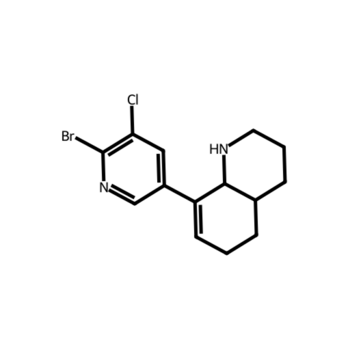 Clc1cc(C2=CCCC3CCCNC23)cnc1Br